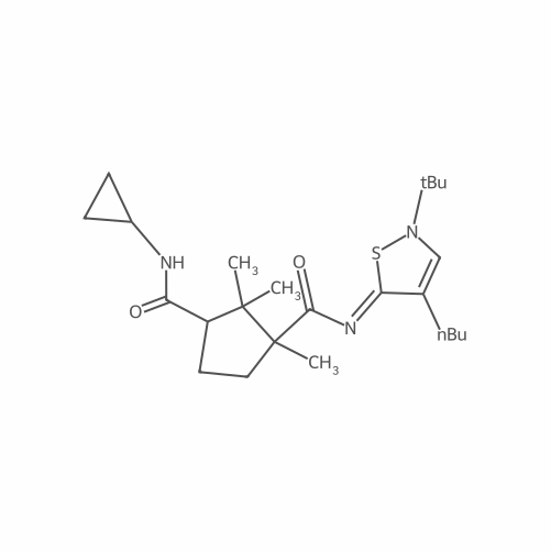 CCCCc1cn(C(C)(C)C)s/c1=N\C(=O)C1(C)CCC(C(=O)NC2CC2)C1(C)C